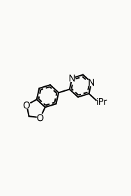 CC(C)c1cc(-c2ccc3c(c2)OCO3)ncn1